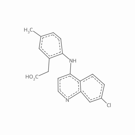 Cc1ccc(Nc2ccnc3cc(Cl)ccc23)c(CC(=O)O)c1